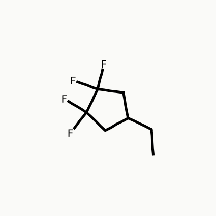 CCC1CC(F)(F)C(F)(F)C1